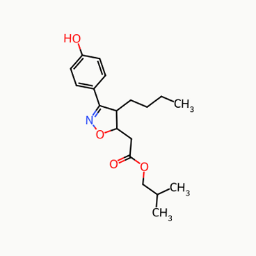 CCCCC1C(c2ccc(O)cc2)=NOC1CC(=O)OCC(C)C